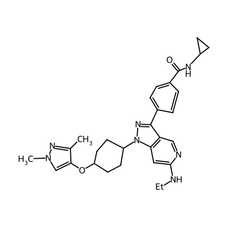 CCNc1cc2c(cn1)c(-c1ccc(C(=O)NC3CC3)cc1)nn2C1CCC(Oc2cn(C)nc2C)CC1